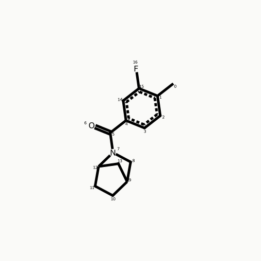 Cc1ccc(C(=O)N2CC3CCC2C3)cc1F